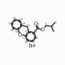 CC(C)COC(=O)c1cccc2c1Cc1ccccc1O2.[Na]